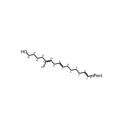 CCCCC/C=C/CCCC/C=C/C/C=C(\F)CCCCO